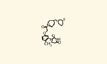 Cc1ccc(OCC(=O)N2CCC(CN3CCC[C@@H](F)C3)CC2)cc1N1CCC(=O)NC1=O